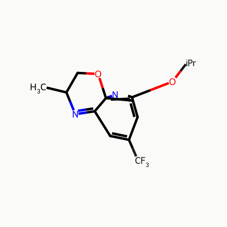 CC1COC23N=CC=C(OC(C)C)C2=CC(C(F)(F)F)=CC3=N1